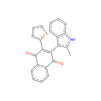 Cc1[nH]c2ccccc2c1C1=C(c2cccs2)C(=O)c2ccccc2C1=O